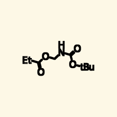 CCC(=O)OCNC(=O)OC(C)(C)C